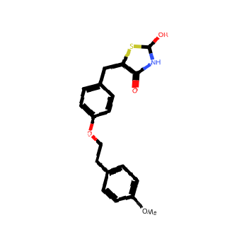 COc1ccc(CCOc2ccc(CC3SC(O)NC3=O)cc2)cc1